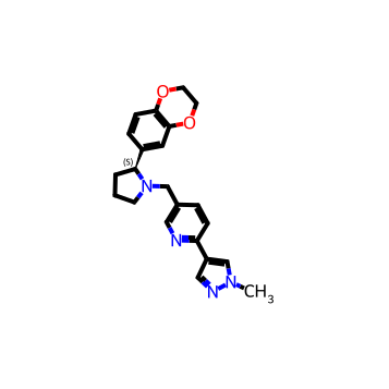 Cn1cc(-c2ccc(CN3CCC[C@H]3c3ccc4c(c3)OCCO4)cn2)cn1